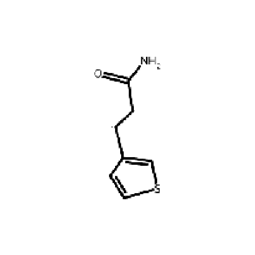 NC(=O)C[CH]c1ccsc1